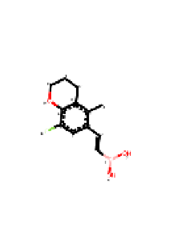 Cc1c(C=CB(O)O)cc(F)c2c1CCCO2